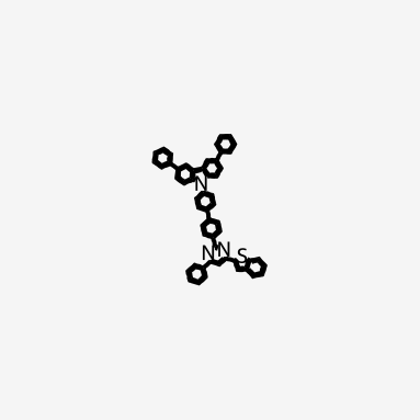 c1ccc(-c2ccc3c(c2)c2cc(-c4ccccc4)ccc2n3-c2ccc(-c3ccc(-c4nc(-c5ccccc5)cc(-c5cc6ccccc6s5)n4)cc3)cc2)cc1